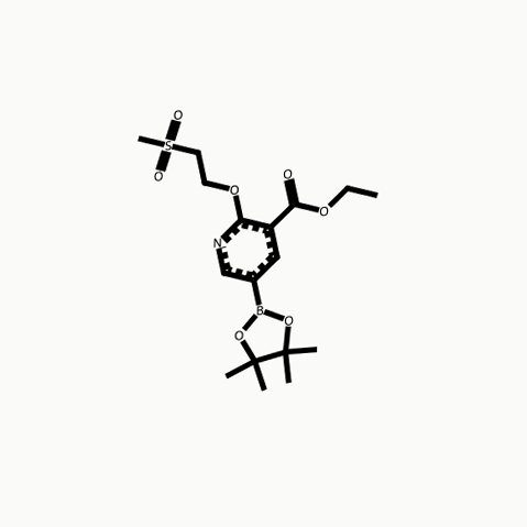 CCOC(=O)c1cc(B2OC(C)(C)C(C)(C)O2)cnc1OCCS(C)(=O)=O